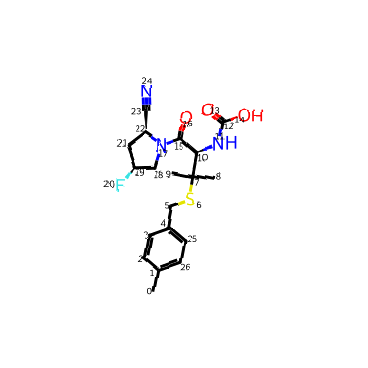 Cc1ccc(CSC(C)(C)[C@H](NC(=O)O)C(=O)N2C[C@@H](F)C[C@H]2C#N)cc1